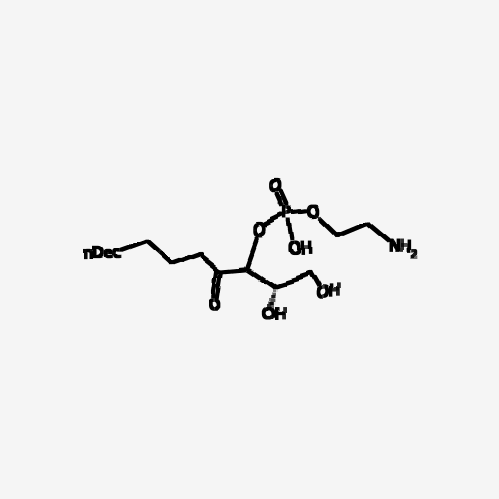 CCCCCCCCCCCCCC(=O)C(OP(=O)(O)OCCN)[C@@H](O)CO